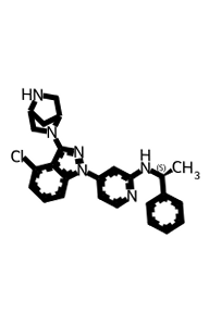 C[C@H](Nc1cc(-n2nc(N3CC4CC3CN4)c3c(Cl)cccc32)ccn1)c1ccccc1